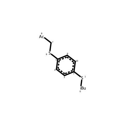 CCC(C)Sc1ccc(SCC(C)=O)cc1